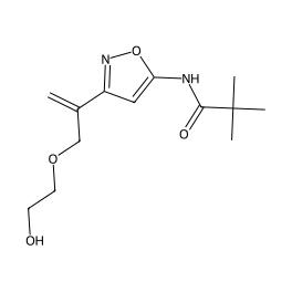 C=C(COCCO)c1cc(NC(=O)C(C)(C)C)on1